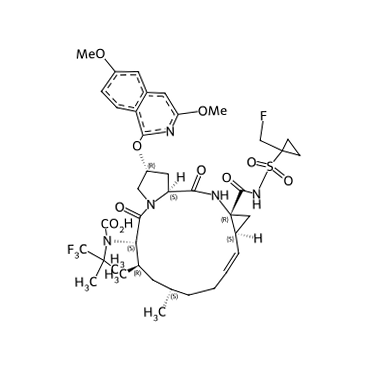 COc1ccc2c(O[C@@H]3C[C@H]4C(=O)N[C@]5(C(=O)NS(=O)(=O)C6(CF)CC6)C[C@H]5C=CCC[C@H](C)C[C@@H](C)[C@H](N(C(=O)O)C(C)(C)C(F)(F)F)C(=O)N4C3)nc(OC)cc2c1